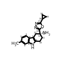 Cc1ccc2c3c([nH]c2c1)CC[C@](N)(c1nnc(C2CC2)o1)C3